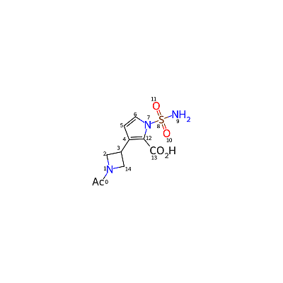 CC(=O)N1CC(c2ccn(S(N)(=O)=O)c2C(=O)O)C1